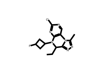 CCC1c2nnc(C)n2-c2cnc(Cl)nc2N1C1CC(F)C1